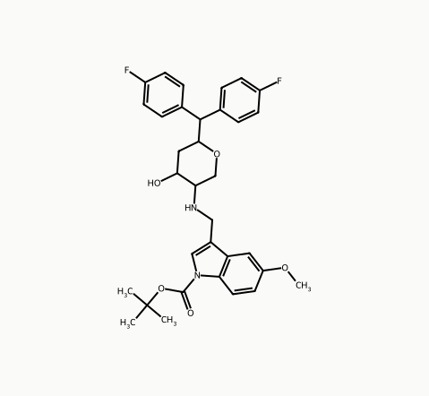 COc1ccc2c(c1)c(CNC1COC(C(c3ccc(F)cc3)c3ccc(F)cc3)CC1O)cn2C(=O)OC(C)(C)C